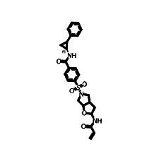 C=CC(=O)NC1CC2CN(S(=O)(=O)c3ccc(C(=O)N[C@@H]4CC4c4ccccc4)cc3)CC2O1